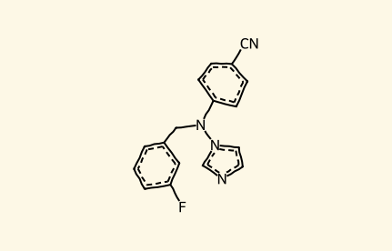 N#Cc1ccc(N(Cc2cccc(F)c2)n2ccnc2)cc1